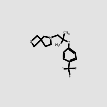 CC(C)(CN1CCC2(CSC2)C1)Oc1ccc(C(F)(F)F)cc1